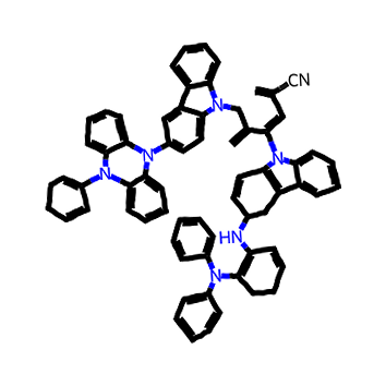 C=C(C#N)/C=C(\C(=C)Cn1c2ccccc2c2cc(N3c4ccccc4N(C4=CCCC=C4)c4ccccc43)ccc21)n1c2c(c3ccccc31)CC(NC1=C(N(c3ccccc3)c3ccccc3)CCC=C1)C=C2